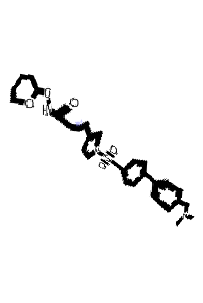 CN(C)Cc1ccc(-c2ccc(S(=O)(=O)n3ccc(/C=C/C(=O)NOC4CCCCO4)c3)cc2)cc1